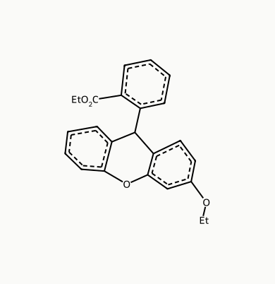 CCOC(=O)c1ccccc1C1c2ccccc2Oc2cc(OCC)ccc21